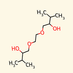 CC(C)C(O)COCCOCC(O)C(C)C